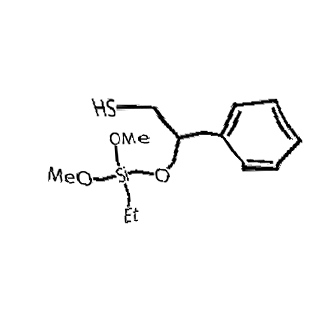 CC[Si](OC)(OC)OC(CS)c1ccccc1